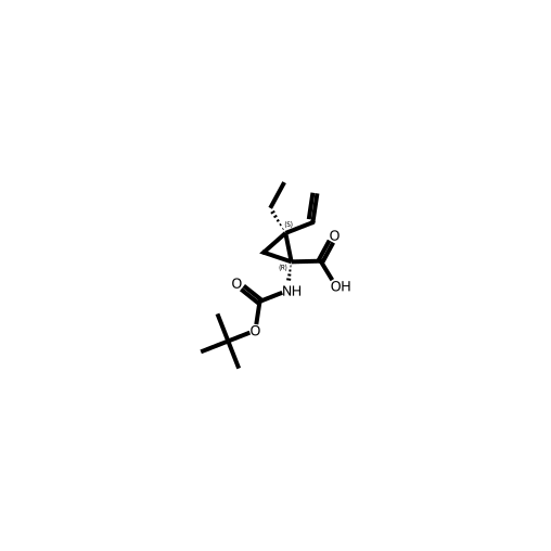 C=C[C@]1(CC)C[C@]1(NC(=O)OC(C)(C)C)C(=O)O